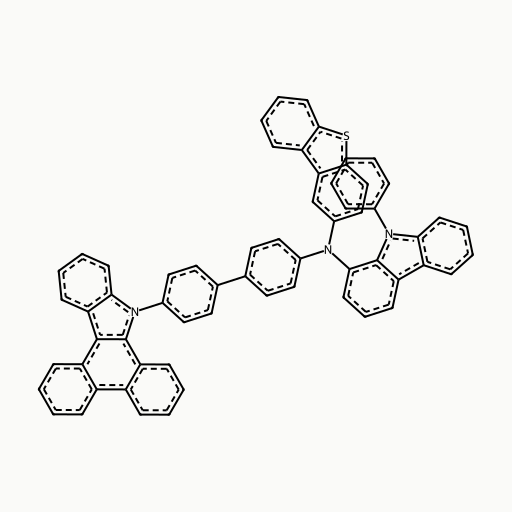 c1ccc(-n2c3ccccc3c3cccc(N(c4ccc(-c5ccc(-n6c7ccccc7c7c8ccccc8c8ccccc8c76)cc5)cc4)c4ccc5sc6ccccc6c5c4)c32)cc1